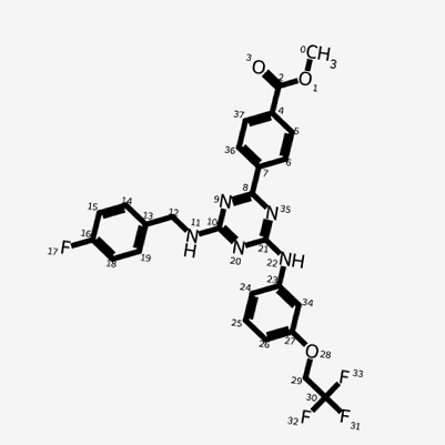 COC(=O)c1ccc(-c2nc(NCc3ccc(F)cc3)nc(Nc3cccc(OCC(F)(F)F)c3)n2)cc1